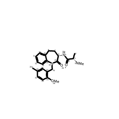 CN[C@@H](C)C(=O)N[C@H]1CCc2ccccc2N(Cc2cc(I)ccc2OC)C1=O